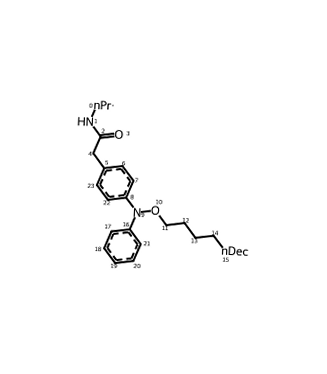 CC[CH]NC(=O)Cc1ccc(N(OCCCCCCCCCCCCCC)c2ccccc2)cc1